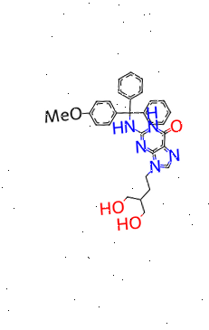 COc1ccc(C(Nc2nc3c(ncn3CCC(CO)CO)c(=O)[nH]2)(c2ccccc2)c2ccccc2)cc1